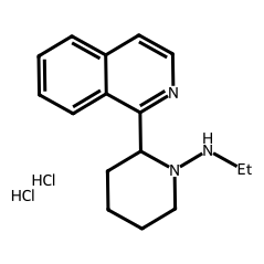 CCNN1CCCCC1c1nccc2ccccc12.Cl.Cl